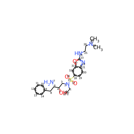 CC(C)CN(C[C@@H](O)[C@@H](N)Cc1ccccc1)S(=O)(=O)c1ccc2nc(NCCN(C)C)oc2c1